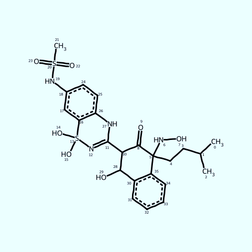 CC(C)CCC1(NO)C(=O)C(C2=NS(O)(O)c3cc(NS(C)(=O)=O)ccc3N2)C(O)c2ccccc21